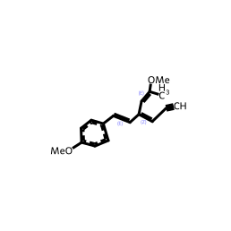 C#C/C=C(/C=C/c1ccc(OC)cc1)\C=C(/C)OC